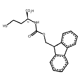 O=C(N[C@@H](CCS)C(=O)O)OCC1c2ccccc2-c2ccccc21